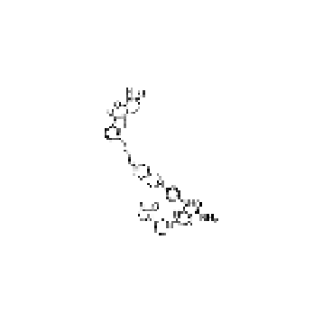 CN1CCN([C@@H]2CCCN(c3cnc(C(N)=O)c(Nc4ccc(N5CCC6(CCN(CCCCc7cccc8c7CN(C7CCC(=O)NC7=O)C8=O)CC6)CC5)cc4)n3)C2)C1=O